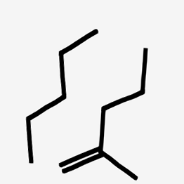 C=C(C)CCC.CCCCC